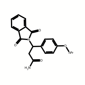 CCCOc1ccc(C(CC(N)=O)N2C(=O)c3ccccc3C2=O)cc1